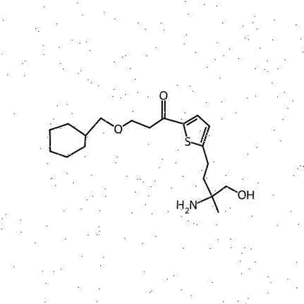 CC(N)(CO)CCc1ccc(C(=O)CCOCC2CCCCC2)s1